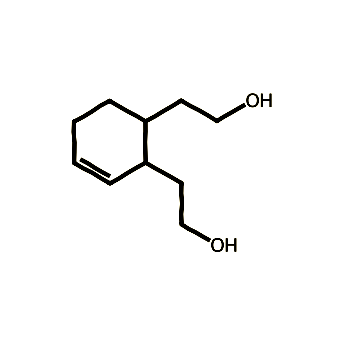 OCCC1C=CCCC1CCO